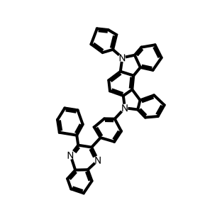 c1ccc(-c2nc3ccccc3nc2-c2ccc(-n3c4ccccc4c4c5c6ccccc6n(-c6ccccc6)c5ccc43)cc2)cc1